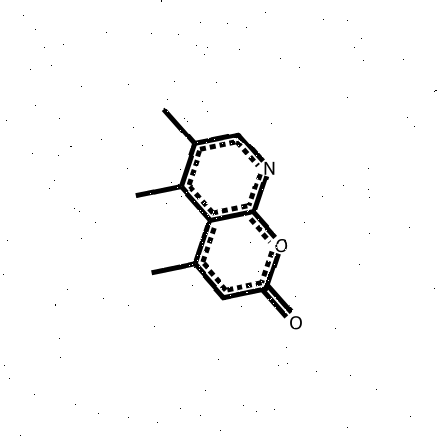 Cc1cnc2oc(=O)cc(C)c2c1C